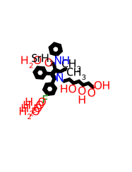 CC(C)c1c(C(=O)Nc2ccccc2)c(-c2ccccc2)c(-c2ccc(F)cc2)n1CC[C@@H](O)C[C@@H](O)CC(=O)O.O.O.O.O.O.[SrH2]